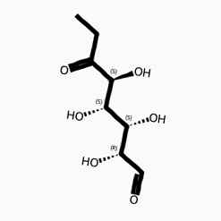 CCC(=O)[C@@H](O)[C@@H](O)[C@H](O)[C@@H](O)C=O